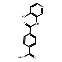 COC(=O)c1ccc(C(=O)Nc2cnccc2O)cc1